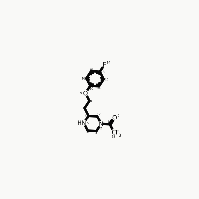 O=C(N1CCNC(CCOc2ccc(F)cc2)C1)C(F)(F)F